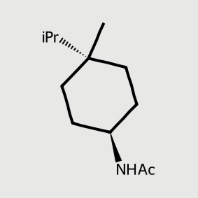 CC(=O)N[C@H]1CC[C@](C)(C(C)C)CC1